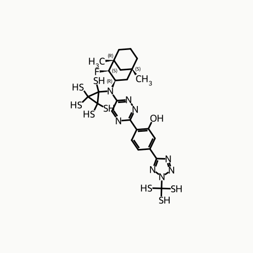 C[C@]12CCC[C@](C)(C1)[C@H](F)[C@H](N(c1cnc(-c3ccc(-c4nnn(C(S)(S)S)n4)cc3O)nn1)C1(S)C(S)(S)C1(S)S)C2